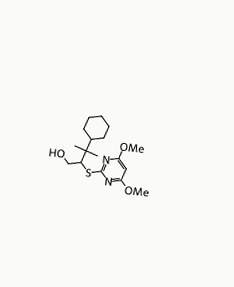 COc1cc(OC)nc(SC(CO)C(C)(C)C2CCCCC2)n1